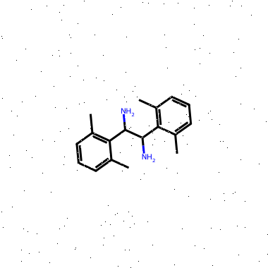 Cc1cccc(C)c1C(N)C(N)c1c(C)cccc1C